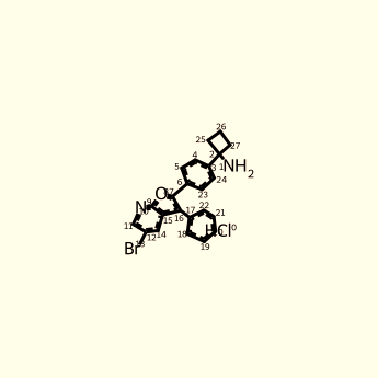 Cl.NC1(c2ccc(-c3oc4ncc(Br)cc4c3-c3ccccc3)cc2)CCC1